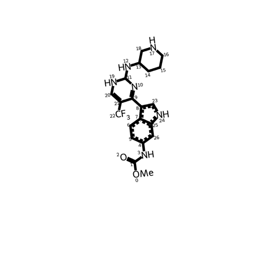 COC(=O)Nc1ccc2c(C3=NC(NC4CCCNC4)NC=C3C(F)(F)F)c[nH]c2c1